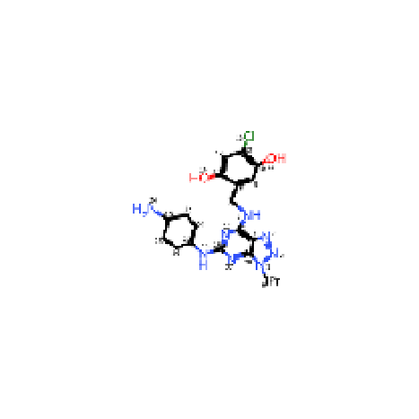 CC(C)n1nnc2c(NCc3cc(O)c(Cl)cc3O)nc(NC3CCC(N)CC3)nc21